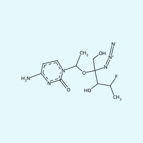 CC(F)C(O)C(CO)(N=[N+]=[N-])OC(C)n1ccc(N)nc1=O